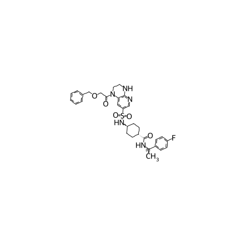 C[C@@H](NC(=O)[C@H]1CC[C@H](NS(=O)(=O)c2cnc3c(c2)N(C(=O)COCc2ccccc2)CCN3)CC1)c1ccc(F)cc1